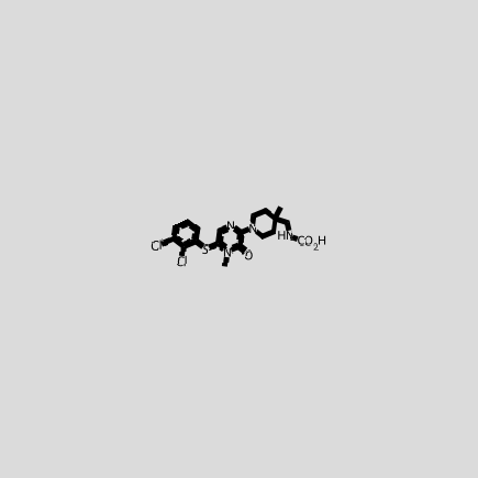 Cn1c(Sc2cccc(Cl)c2Cl)cnc(N2CCC(C)(CNC(=O)O)CC2)c1=O